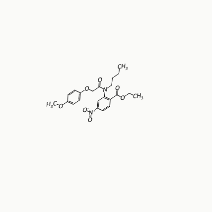 CCCCN(C(=O)COc1ccc(OC)cc1)c1cc([N+](=O)[O-])ccc1C(=O)OCC